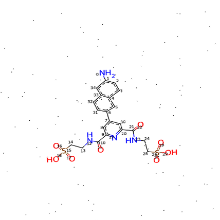 Nc1ccc2cc(-c3cc(C(=O)NCCS(=O)(=O)O)nc(C(=O)NCCS(=O)(=O)O)c3)ccc2c1